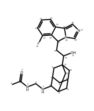 CC(=O)NCNC1C2CC3CC1CC(C(O)CC1c4c(F)cccc4-c4cncn41)(C3)C2